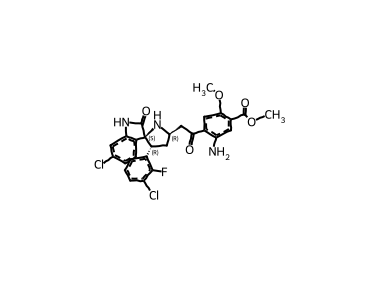 COC(=O)c1cc(N)c(C(=O)C[C@H]2C[C@H](c3cccc(Cl)c3F)[C@@]3(N2)C(=O)Nc2cc(Cl)ccc23)cc1OC